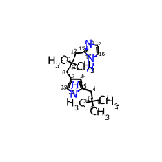 CC(C)(C)Cc1cc(CC(C)(C)Cc2ncc[nH]2)c[nH]1